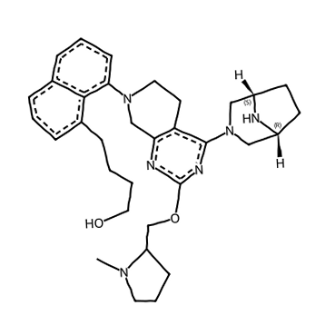 CN1CCCC1COc1nc2c(c(N3C[C@H]4CC[C@@H](C3)N4)n1)CCN(c1cccc3cccc(CCCCO)c13)C2